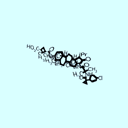 CC(C)C1=C2[C@H]3CC[C@@H]4[C@@]5(C)CC[C@H](OC(=O)[C@H]6C[C@@H](C(=O)O)C6(C)C)C(C)(C)[C@@H]5CC[C@@]4(C)[C@]3(C)CC[C@@]2(NC(=O)C(C)(C)NC(=O)C2(c3ccc(Cl)cc3)CC2)CC1=O